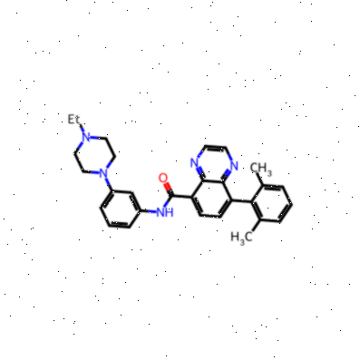 CCN1CCN(c2cccc(NC(=O)c3ccc(-c4c(C)cccc4C)c4nccnc34)c2)CC1